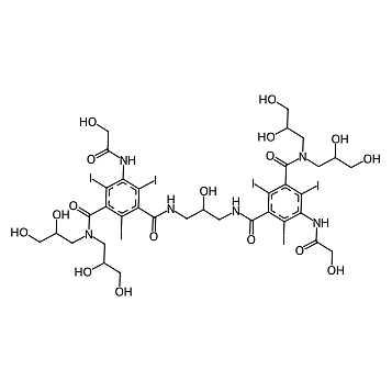 O=C(CO)Nc1c(I)c(C(=O)NCC(O)CNC(=O)c2c(I)c(NC(=O)CO)c(I)c(C(=O)N(CC(O)CO)CC(O)CO)c2I)c(I)c(C(=O)N(CC(O)CO)CC(O)CO)c1I